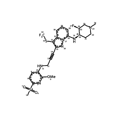 COc1nc(S(C)(=O)=O)ccc1NCC#Cc1nn2c(N[C@@H]3CCN(C)C[C@@H]3F)cccc2c1SC(F)(F)F